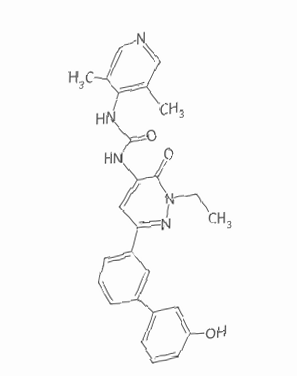 CCn1nc(-c2cccc(-c3cccc(O)c3)c2)cc(NC(=O)Nc2c(C)cncc2C)c1=O